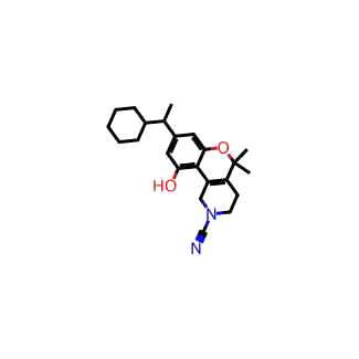 CC(c1cc(O)c2c(c1)OC(C)(C)C1=C2CN(C#N)CC1)C1CCCCC1